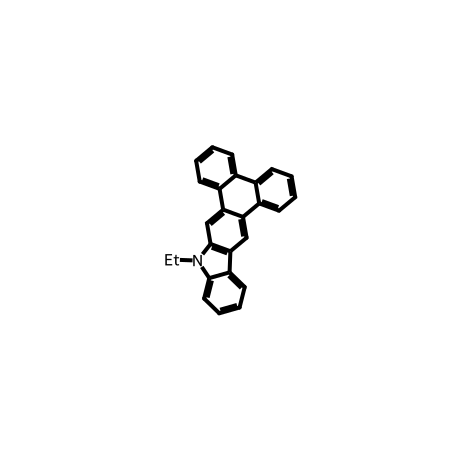 CCn1c2ccccc2c2cc3c4ccccc4c4ccccc4c3cc21